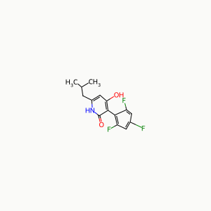 CC(C)Cc1cc(O)c(-c2c(F)cc(F)cc2F)c(=O)[nH]1